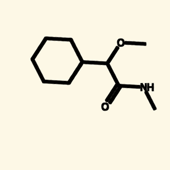 CNC(=O)C(OC)C1CCCCC1